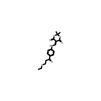 CCOCCC(=O)c1ccc(NC=C2C(=O)OC(C)(C)OC2=O)cc1